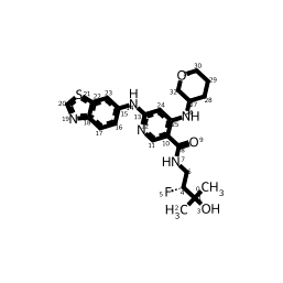 CC(C)(O)[C@H](F)CNC(=O)c1cnc(Nc2ccc3ncsc3c2)cc1NC1CCCOC1